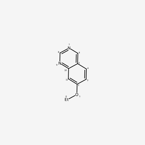 CCOc1ccc2cncnc2c1